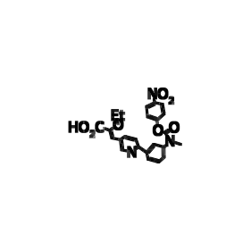 CCOC(=Cc1ccc(-c2cccc(N(C)C(=O)Oc3ccc([N+](=O)[O-])cc3)c2)nc1)C(=O)O